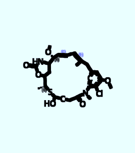 COc1cc2cc(c1Cl)N(C)C(=O)CCC(O)S[C@H](C)C1CC(NC(=O)O1)[C@H](OC)/C=C/C=C(\C)C2